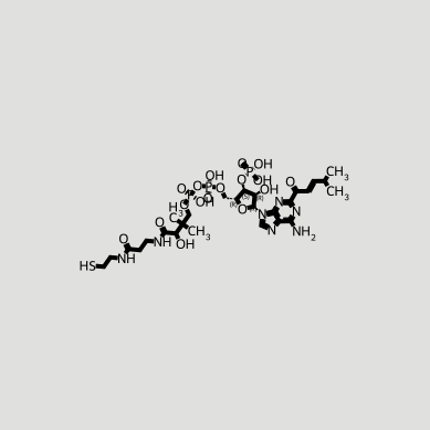 CC(C)C=CC(=O)c1nc(N)c2ncn([C@@H]3O[C@H](COP(=O)(O)OP(=O)(O)OCC(C)(C)C(O)C(=O)NCCC(=O)NCCS)[C@@H](OP(=O)(O)O)[C@H]3O)c2n1